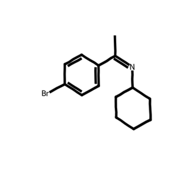 C/C(=N/C1CCCCC1)c1ccc(Br)cc1